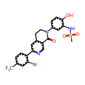 CS(=O)(=O)Nc1cc(N2CCc3cc(-c4ccc(C(F)(F)F)cc4Br)ncc3C2=O)ccc1O